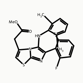 COC(=O)Cc1csc2nc(-c3c(F)cccc3F)c(Nc3c(C)cccc3C)n12